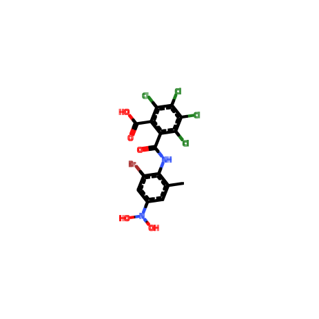 Cc1cc(N(O)O)cc(Br)c1NC(=O)c1c(Cl)c(Cl)c(Cl)c(Cl)c1C(=O)O